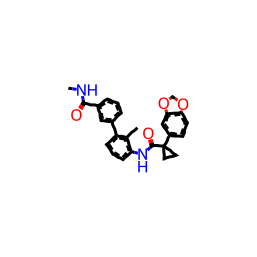 CNC(=O)c1cccc(-c2cccc(NC(=O)C3(c4ccc5c(c4)OCO5)CC3)c2C)c1